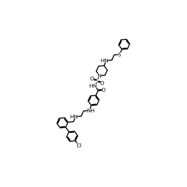 O=C(NS(=O)(=O)N1CCC(NCCSc2ccccc2)CC1)c1ccc(NCCNCc2ccccc2-c2ccc(Cl)cc2)cc1